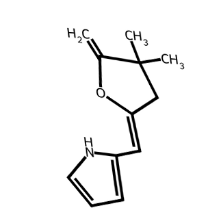 C=C1OC(=Cc2ccc[nH]2)CC1(C)C